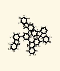 c1ccc2c(c1)-c1ccccc1C21c2ccccc2-c2cc3c(cc21)c(-c1cc(-c2cccc4c2sc2ccccc24)cc(-c2cccc4c2sc2ccccc24)c1)nc1ccccc13